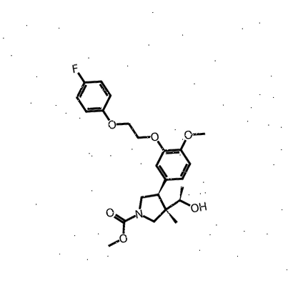 COC(=O)N1C[C@@H](c2ccc(OC)c(OCCOc3ccc(F)cc3)c2)[C@](C)([C@@H](C)O)C1